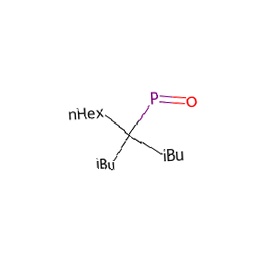 CCCCCCC(P=O)(C(C)CC)C(C)CC